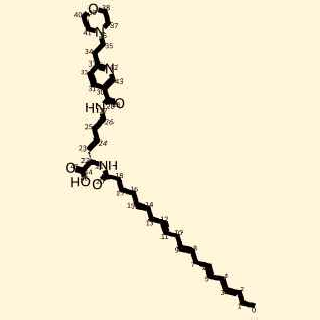 CCC=CCC=CCC=CCC=CCC=CCCCC(=O)N[C@@H](CCCCNC(=O)c1ccc(CCN2CCOCC2)nc1)C(=O)O